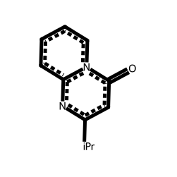 CC(C)c1cc(=O)n2ccccc2n1